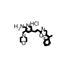 Cc1c(CN(C)C(=O)/C=C/c2cnc(N)c(CN3CCOCC3)c2)sc2ccccc12.Cl